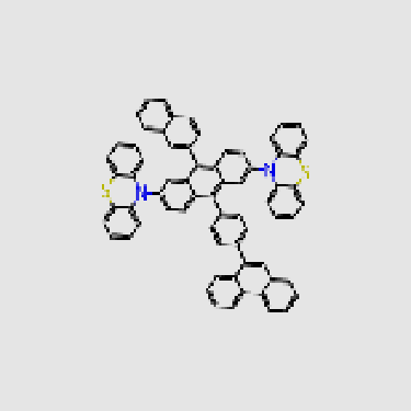 c1ccc2c(c1)Sc1ccccc1N2c1ccc2c(-c3ccc4ccccc4c3)c3cc(N4c5ccccc5Sc5ccccc54)ccc3c(-c3ccc(-c4cc5ccccc5c5ccccc45)cc3)c2c1